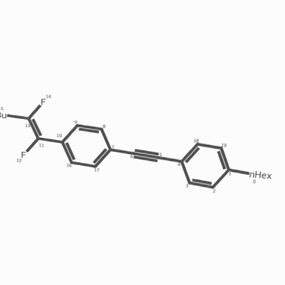 CCCCCCc1ccc(C#Cc2ccc(C(F)=C(F)CCCC)cc2)cc1